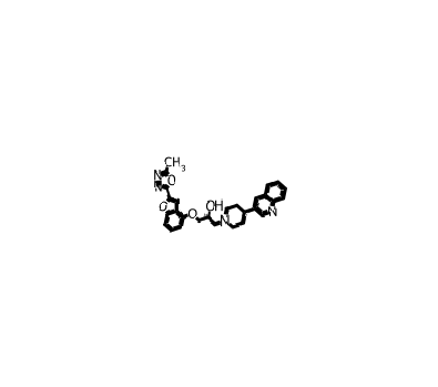 Cc1nnc(-c2cc3c(OC[C@@H](O)CN4CCC(c5cnc6ccccc6c5)CC4)cccc3o2)o1